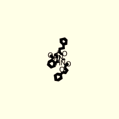 O=CN(C[C@@H](CCc1ccccc1)C(=O)NCNC(=O)c1ccc(-c2ccccc2)o1)OCc1ccccc1